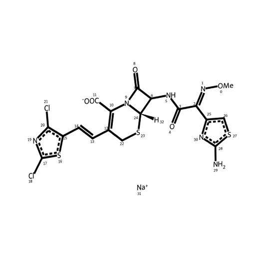 CON=C(C(=O)NC1C(=O)N2C(C(=O)[O-])=C(C=Cc3sc(Cl)nc3Cl)CS[C@@H]12)c1csc(N)n1.[Na+]